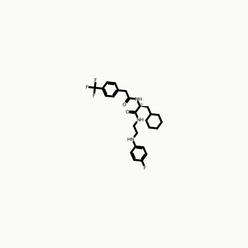 O=C(Cc1ccc(C(F)(F)F)cc1)N[C@@H](CC1CCCCC1)C(=O)NCCNc1ccc(F)cc1